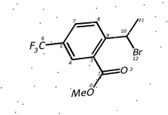 COC(=O)c1cc(C(F)(F)F)ccc1C(C)Br